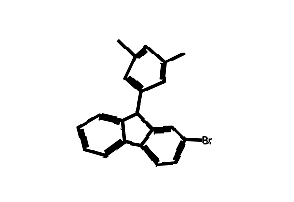 Cc1cc(C)cc(C2c3ccccc3-c3ccc(Br)cc32)c1